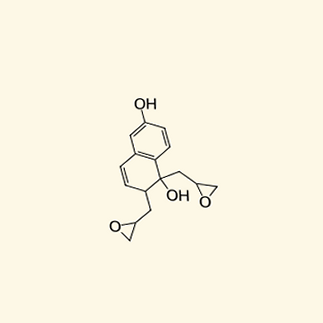 Oc1ccc2c(c1)C=CC(CC1CO1)C2(O)CC1CO1